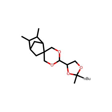 CCCCC1(C)OCC(C2OCC3(CO2)CC2CC3C(C)C2C)O1